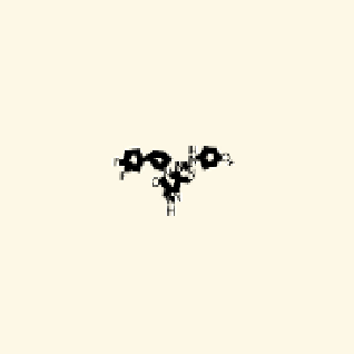 COc1ccc(Nc2ncc3c4n[nH]cc4c(=O)n(-c4cccc(-c5ccc(F)c(F)c5)c4)c3n2)cc1